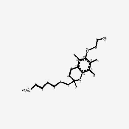 CCCCCCCCCCCCCCCCC1(C)CCc2c(C)c(OCCO)c(C)c(C)c2O1